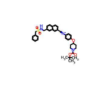 CC(C)(C)OC(=O)N1CCC(Oc2ccc([N+]#Cc3ccc4ccc(CNS(=O)(=O)Cc5ccccc5)cc4c3)cc2)CC1